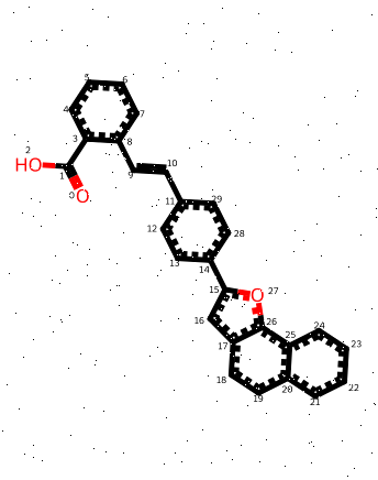 O=C(O)c1ccccc1/C=C/c1ccc(-c2cc3ccc4ccccc4c3o2)cc1